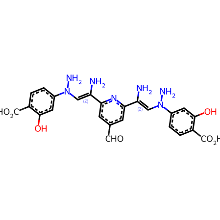 N/C(=C\N(N)c1ccc(C(=O)O)c(O)c1)c1cc(C=O)cc(/C(N)=C/N(N)c2ccc(C(=O)O)c(O)c2)n1